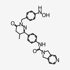 CC1CC(=O)N(Cc2ccc(NO)cc2)N=C1c1ccc(NC(=O)N2Cc3ccncc3C2)cc1